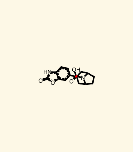 O=C(O)N1C2CCC1CC(c1ccc3[nH]c(=O)oc3c1)C2